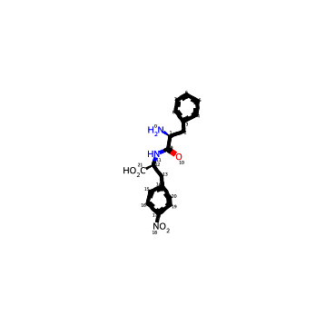 N[C@@H](Cc1ccccc1)C(=O)N[C@@H](Cc1ccc([N+](=O)[O-])cc1)C(=O)O